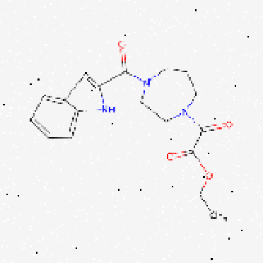 CCOC(=O)C(=O)N1CCCN(C(=O)c2cc3ccccc3[nH]2)CC1